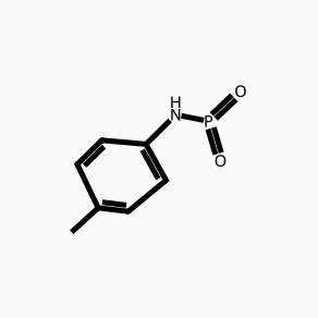 Cc1ccc(NP(=O)=O)cc1